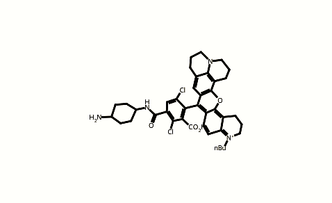 CCCC[N+]1=c2ccc3c(c2CCC1)Oc1c(cc2c4c1CCCN4CCC2)C=3c1c(Cl)cc(C(=O)NC2CCC(N)CC2)c(Cl)c1C(=O)O